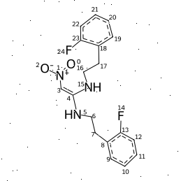 O=[N+]([O-])C=C(NCCc1ccccc1F)NCCc1ccccc1F